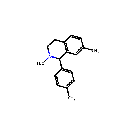 Cc1ccc(C2c3cc(C)ccc3CCN2C)cc1